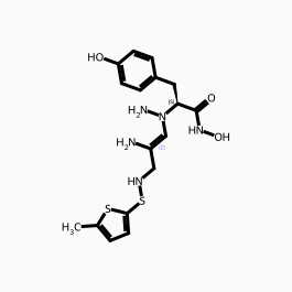 Cc1ccc(SNC/C(N)=C/N(N)[C@@H](Cc2ccc(O)cc2)C(=O)NO)s1